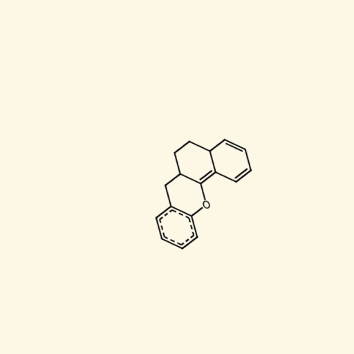 C1=CC2=C3Oc4ccccc4CC3CCC2C=C1